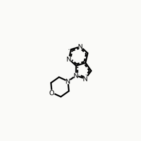 [c]1ncc2cnn(N3CCOCC3)c2n1